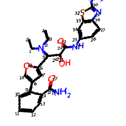 CCN(CC)C(c1cc(-c2ccccc2C(N)=O)co1)C(O)C(=O)Nc1ccc2nc(N)sc2c1